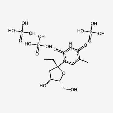 CC[C@]1(n2cc(C)c(=O)[nH]c2=O)C[C@H](O)[C@@H](CO)O1.O=P(O)(O)O.O=P(O)(O)O.O=P(O)(O)O